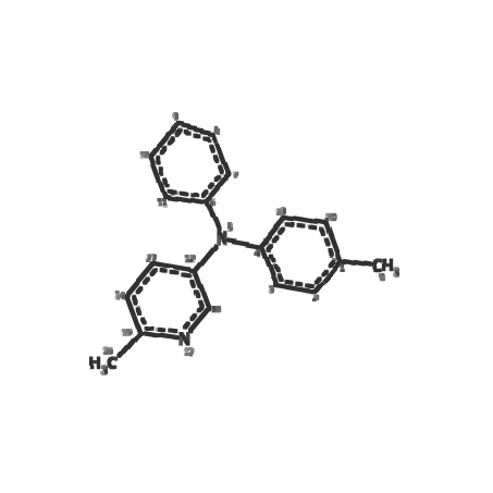 Cc1ccc(N(c2ccccc2)c2ccc(C)nc2)cc1